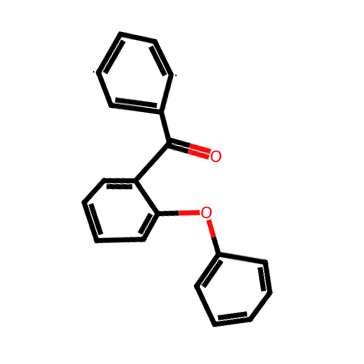 O=C(c1[c]cc[c]c1)c1ccccc1Oc1ccccc1